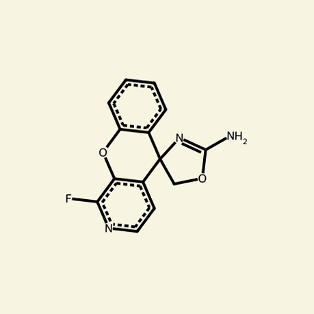 NC1=NC2(CO1)c1ccccc1Oc1c2ccnc1F